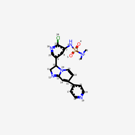 CN(C)S(=O)(=O)Nc1cc(C2CN=C3C=C(c4ccncc4)C=CN32)cnc1Cl